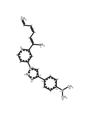 C=C/C=C\C=C(/N)c1cc(-n2cc(-c3ccc(N(C)C)cc3)nn2)ccn1